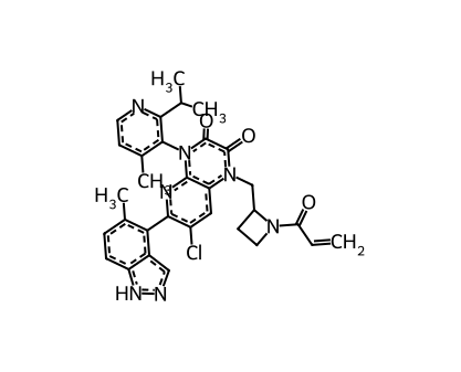 C=CC(=O)N1CCC1Cn1c(=O)c(=O)n(-c2c(C)ccnc2C(C)C)c2nc(-c3c(C)ccc4[nH]ncc34)c(Cl)cc21